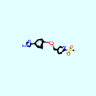 CS(=O)(=O)c1ccc(COc2ccc(-c3c[nH]cn3)cc2)cn1